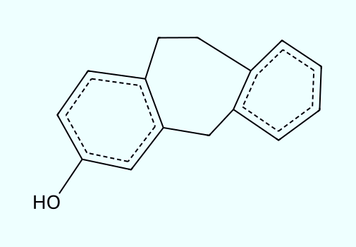 Oc1ccc2c(c1)Cc1ccccc1CC2